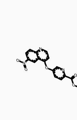 COC(=O)c1ccc(Oc2ccnc3ccc([N+](=O)[O-])cc23)cn1